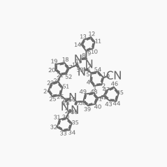 N#Cc1cccc(-c2nc(-c3ccccc3)nc(-c3cccc(-c4cccc(-c5nc(-c6ccccc6)nc(-c6ccc(-c7ccccc7)cc6)n5)c4)c3)n2)c1